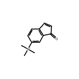 C[N+](C)(C)c1ccc2c(c1)C(=O)C=C2